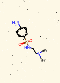 CC(C)N(CCNS(=O)(=O)c1ccc(N)cc1)C(C)C